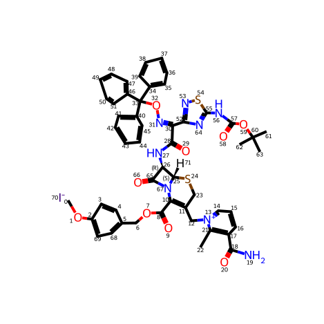 COc1ccc(COC(=O)C2=C(C[n+]3cccc(C(N)=O)c3C)CS[C@H]3[C@H](NC(=O)C(=NOC(c4ccccc4)(c4ccccc4)c4ccccc4)c4nsc(NC(=O)OC(C)(C)C)n4)C(=O)N23)cc1.[I-]